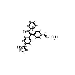 CC/C(=C(/c1ccc(/C=C/C(=O)O)cc1)c1ccc(-c2ccn[nH]2)cc1)c1ccccc1